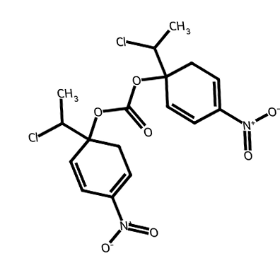 CC(Cl)C1(OC(=O)OC2(C(C)Cl)C=CC([N+](=O)[O-])=CC2)C=CC([N+](=O)[O-])=CC1